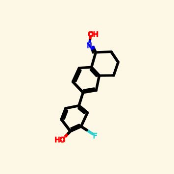 O/N=C1\CCCc2cc(-c3ccc(O)c(F)c3)ccc21